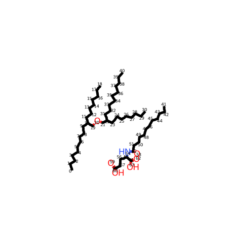 CCCCCCCCCCC(CCCCCCCC)COCC(CCCCCCCC)CCCCCCCCCC.CCCCCCCCCCCC(=O)NC(CCC(=O)O)C(=O)O